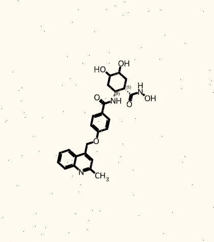 Cc1cc(COc2ccc(C(=O)N[C@@H]3CC(O)C(O)C[C@@H]3C(=O)NO)cc2)c2ccccc2n1